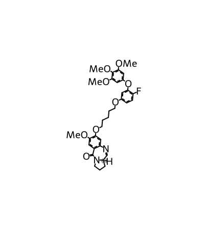 COc1cc2c(cc1OCCCCCOc1ccc(F)c(Oc3cc(OC)c(OC)c(OC)c3)c1)N=C[C@@H]1CCCN1C2=O